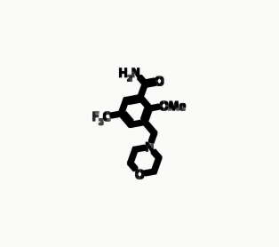 COc1c(CN2CCOCC2)cc(C(F)(F)F)cc1C(N)=O